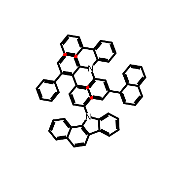 c1ccc(-c2ccccc2N(c2cccc(-c3cccc4ccccc34)c2)c2cccc(-c3ccccc3)c2-c2ccc(-n3c4ccccc4c4ccc5ccccc5c43)cc2)cc1